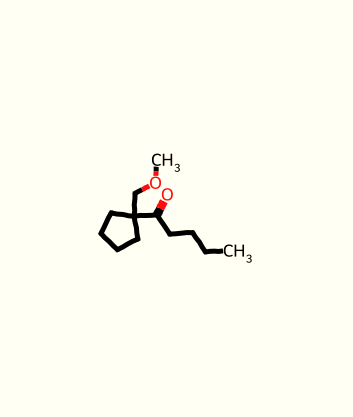 CCCCC(=O)C1(COC)CCCC1